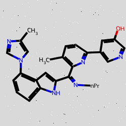 CCC/N=C(/c1cc2c(-n3cnc(C)c3)cccc2[nH]1)c1nc(-c2cncc(O)c2)ccc1C